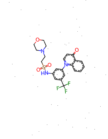 O=c1ccn(-c2cc(NS(=O)(=O)CCN3CCOCC3)cc(C(F)(F)F)c2)c2ccccc12